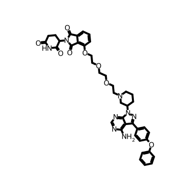 Nc1ncnc2c1c(-c1ccc(Oc3ccccc3)cc1)nn2C1CCCN(CCOCCOCCOc2cccc3c2C(=O)N(C2CCC(=O)NC2=O)C3=O)C1